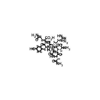 N=C(N)NCCC[C@H](NC(=O)[C@H](CC(N)=O)NC(=O)[C@H](CC(N)=O)NC(=O)CN)C(=O)N[C@@H](Cc1ccc(O)cc1)C(=O)N[C@@H](CCC(N)=O)C(=O)O